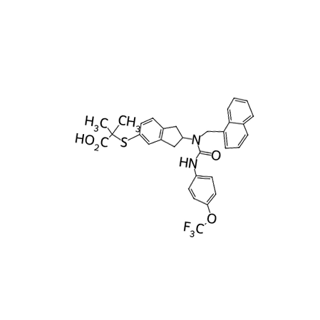 CC(C)(Sc1ccc2c(c1)CC(N(Cc1cccc3ccccc13)C(=O)Nc1ccc(OC(F)(F)F)cc1)C2)C(=O)O